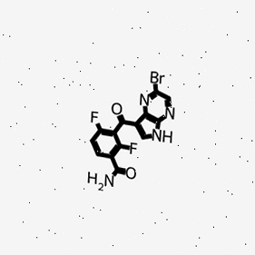 NC(=O)c1ccc(F)c(C(=O)c2c[nH]c3ncc(Br)nc23)c1F